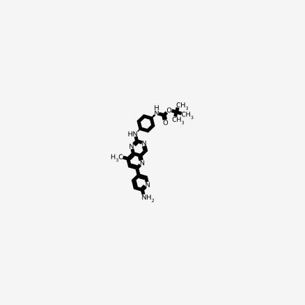 Cc1cc(-c2ccc(N)nc2)nc2cnc(N[C@H]3CC[C@H](NC(=O)OC(C)(C)C)CC3)nc12